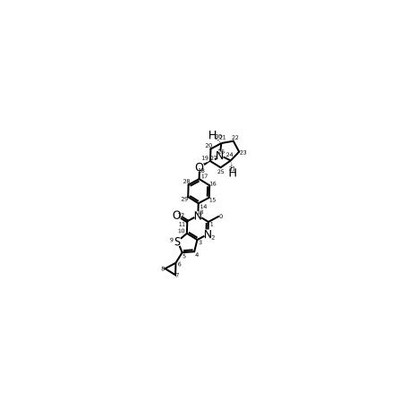 Cc1nc2cc(C3CC3)sc2c(=O)n1-c1ccc(O[C@H]2C[C@H]3CC[C@@H](C2)N3C)cc1